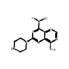 CCN(CC)c1nc(N2CCNCC2)nc2c(SC)ncnc12